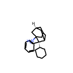 NC12CC3CC(C[C@H](C3)C1)[C@]2(c1ccccc1)C1CCCCC1